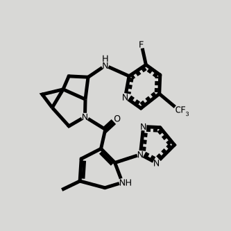 CC1=CC(C(=O)N2CC3CC34CC(Nc3ncc(C(F)(F)F)cc3F)C24)=C(n2nccn2)NC1